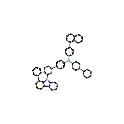 c1ccc(-c2ccc(N(c3ccc(-c4cccc(-n5c6ccccc6c6cccc(-c7ccccc7)c65)c4)cc3)c3ccc(-c4cccc5ccccc45)cc3)cc2)cc1